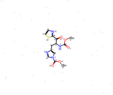 CC(C)(C)OC(=O)NC(Cc1cn(C(=O)OC(C)(C)C)cn1)C(=O)c1nccs1